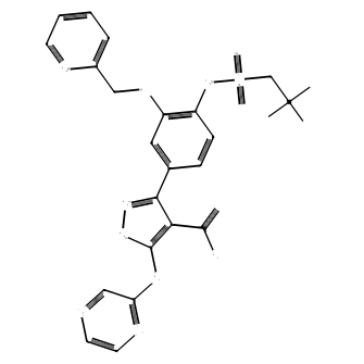 NC(=O)c1c(-c2ccc(NS(=O)(=O)CC(F)(F)F)c(OCc3ccccn3)c2)n[nH]c1Nc1cnccn1